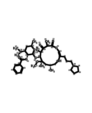 CO[C@]1(C)C[C@@H](C)CNC(CCCN2CCCC2)=COC(=O)C(C)C(=O)[C@H](C)[C@H]1O[C@@H]1O[C@H](C)C[C@H](N(C)C)[C@H]1OC(=O)c1ccccc1